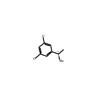 C[C@H](c1cc(Cl)cc(Cl)c1)C(C)(C)C